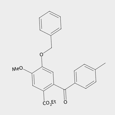 CCOC(=O)c1cc(OC)c(OCc2ccccc2)cc1C(=O)c1ccc(C)cc1